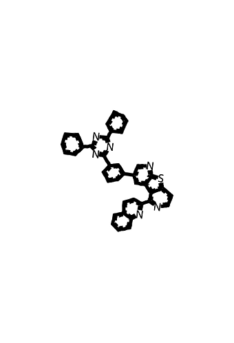 c1ccc(-c2nc(-c3ccccc3)nc(-c3cccc(-c4cnc5sc6ccnc(-c7ccc8ccccc8n7)c6c5c4)c3)n2)cc1